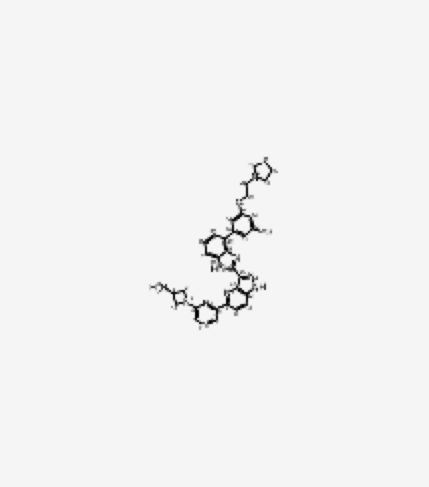 NC1CN(c2cncc(-c3ccc4[nH]nc(-c5nc6c(-c7cc(F)cc(OCCN8CCCC8)c7)cccc6[nH]5)c4n3)n2)C1